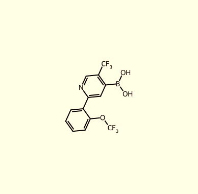 OB(O)c1cc(-c2ccccc2OC(F)(F)F)ncc1C(F)(F)F